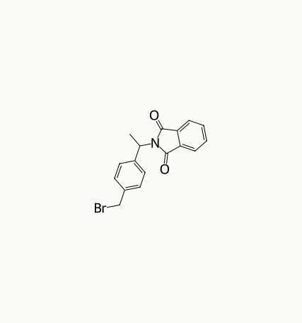 CC(c1ccc(CBr)cc1)N1C(=O)c2ccccc2C1=O